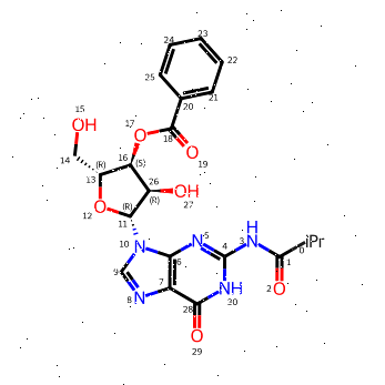 CC(C)C(=O)Nc1nc2c(ncn2[C@@H]2O[C@H](CO)[C@@H](OC(=O)c3ccccc3)[C@H]2O)c(=O)[nH]1